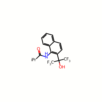 CC(C)C(=O)Nc1c(C(O)(C(F)(F)F)C(F)(F)F)ccc2ccccc12